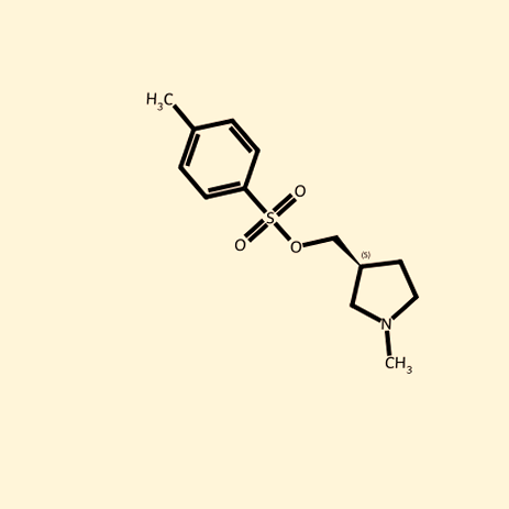 Cc1ccc(S(=O)(=O)OC[C@H]2CCN(C)C2)cc1